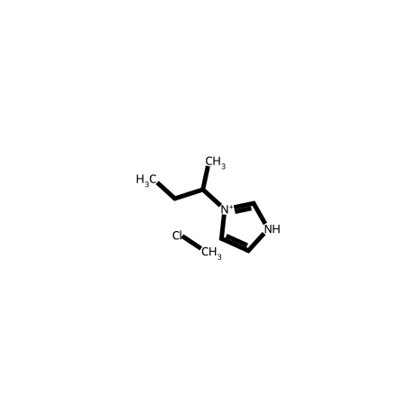 CCC(C)[n+]1cc[nH]c1.CCl